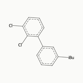 [CH2]CC(C)c1cccc(-c2cccc(Cl)c2Cl)c1